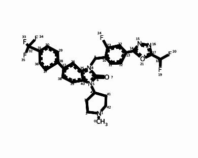 CN1CCC(n2c(=O)n(Cc3ccc(-c4nnc(C(F)F)o4)cc3F)c3cc(-c4ccc(C(F)(F)F)cc4)ccc32)CC1